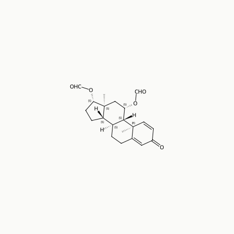 C[C@]12C[C@H](OC=O)[C@H]3[C@@H](CCC4=CC(=O)C=C[C@@]43C)[C@@H]1CC[C@@H]2OC=O